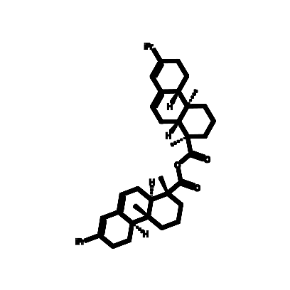 CC(C)C1=CC2=CC[C@@H]3[C@](C)(CCC[C@@]3(C)C(=O)OC(=O)[C@]3(C)CCC[C@@]4(C)[C@H]3CC=C3C=C(C(C)C)CC[C@@H]34)[C@H]2CC1